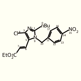 CCCCc1nc(Cl)c(/C=C/C(=O)OCC)n1Cc1ccc([N+](=O)[O-])cc1